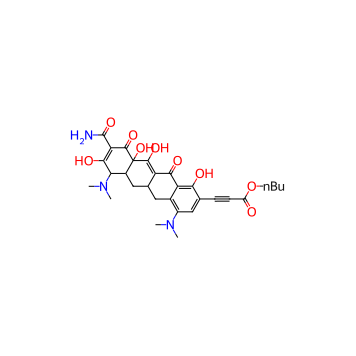 CCCCOC(=O)C#Cc1cc(N(C)C)c2c(c1O)C(=O)C1=C(O)C3(O)C(=O)C(C(N)=O)=C(O)C(N(C)C)C3CC1C2